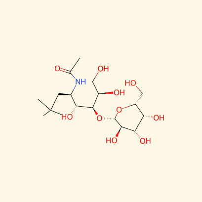 CC(=O)N[C@H](CC(C)(C)C)[C@@H](O)[C@H](O[C@@H]1O[C@H](CO)[C@H](O)[C@H](O)[C@H]1O)[C@H](O)CO